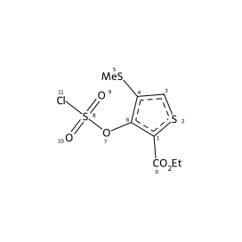 CCOC(=O)c1scc(SC)c1OS(=O)(=O)Cl